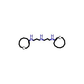 C1=C(NCCCNCCCNC2=CCCCCCCCCC2)CCCCCCCCC1